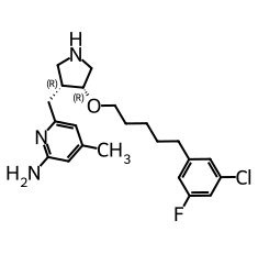 Cc1cc(N)nc(C[C@@H]2CNC[C@@H]2OCCCCCc2cc(F)cc(Cl)c2)c1